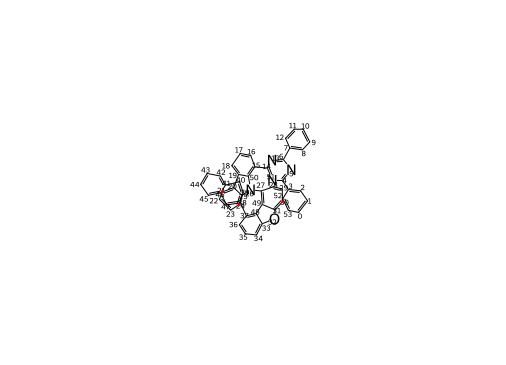 c1ccc(-c2nc(-c3ccccc3)nc(-c3cccc4c5ccccc5n(-c5cccc6oc7cccc(-c8ccc9ccccc9c8)c7c56)c34)n2)cc1